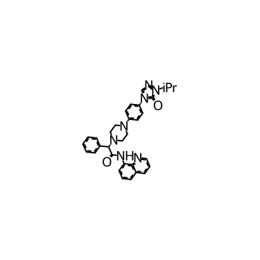 CC(C)n1ncn(-c2ccc(N3CCN(C(C(=O)Nc4cccc5cccnc45)c4ccccc4)CC3)cc2)c1=O